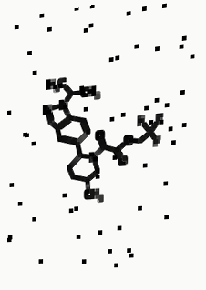 CC1CCC(c2ccc3c(cnn3C(C)C)c2)N(C(=O)C(=O)OCC(F)(F)F)C1